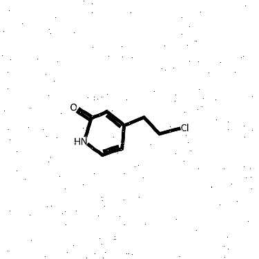 O=c1cc(CCCl)cc[nH]1